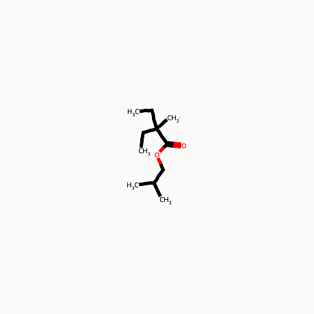 [CH2]C(CC)(CC)C(=O)OCC(C)C